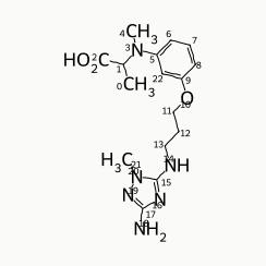 CC(C(=O)O)N(C)c1cccc(OCCCNc2nc(N)nn2C)c1